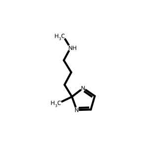 CNCCCC1(C)N=CC=N1